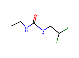 [CH2]CNC(=O)NCC(F)F